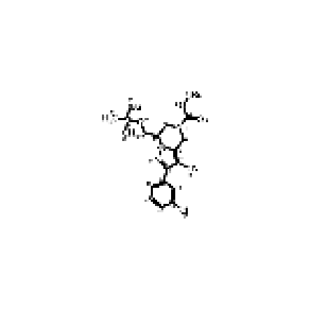 CC(C)(C)OC(=O)N1Cc2c(C#N)c(-c3cccc(Cl)c3)nn2C(CO[Si](C)(C)C(C)(C)C)C1